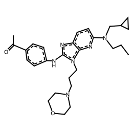 CCCN(CC1CC1)c1ccc2nc(Nc3ccc(C(C)=O)cc3)n(CCCN3CCOCC3)c2n1